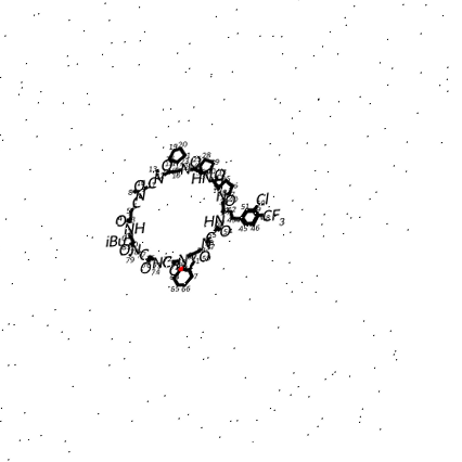 CCC(C)[C@@H]1NC(=O)CCN(C)C(=O)CN(C)C(=O)[C@H](C2CCCC2)N(C)C(=O)C2(CCCC2)NC(=O)[C@@H]2CCCN2C(=O)[C@H](CCc2ccc(C(F)(F)F)c(Cl)c2)NC(=O)CN(C)C(=O)[C@H](CC2CCCCC2)N(C)C(=O)CN(C)C(=O)CN(C)C1=O